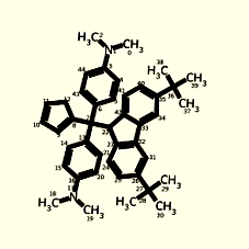 CN(C)c1ccc(C(C2=CC=CC2)(c2ccc(N(C)C)cc2)C2c3ccc(C(C)(C)C)cc3-c3cc(C(C)(C)C)ccc32)cc1